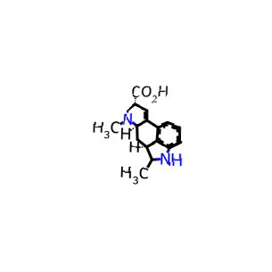 CC1Nc2cccc3c2[C@@H]1C[C@@H]1C3=C[C@@H](C(=O)O)CN1C